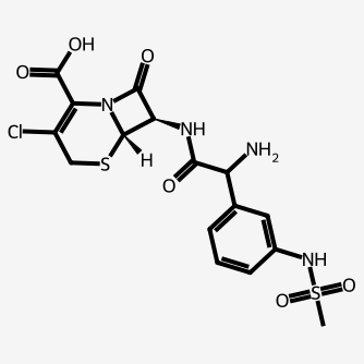 CS(=O)(=O)Nc1cccc(C(N)C(=O)N[C@@H]2C(=O)N3C(C(=O)O)=C(Cl)CS[C@@H]23)c1